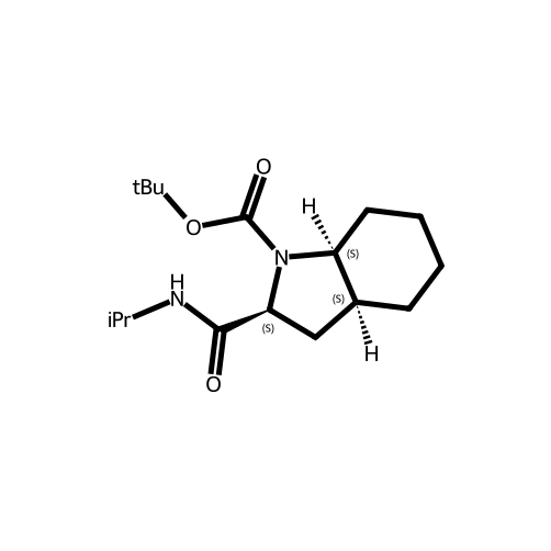 CC(C)NC(=O)[C@@H]1C[C@@H]2CCCC[C@@H]2N1C(=O)OC(C)(C)C